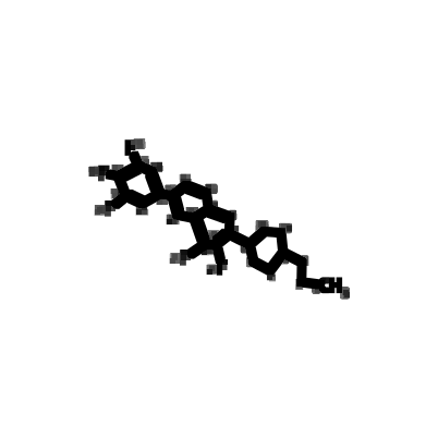 CCCC1CCC(c2cc3ccc(-c4cc(F)c(F)c(F)c4)cc3c(F)c2F)CC1